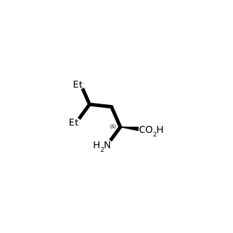 CCC(CC)C[C@H](N)C(=O)O